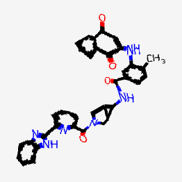 Cc1ccc(C(=O)NC2C3CN(C(=O)c4cccc(-c5nc6ccccc6[nH]5)n4)CC32)cc1NC1=CC(=O)c2ccccc2C1=O